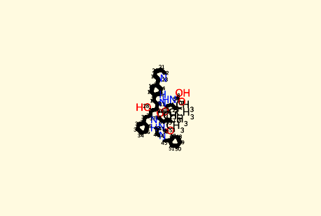 CC(C)(C)C(NC(=O)O)C(=O)NC(Cc1ccc(-c2ccccn2)cc1)CC(O)C(Cc1ccccc1)NC(=O)C(N1CCN(Cc2ccccc2)C1=O)C(C)(C)C